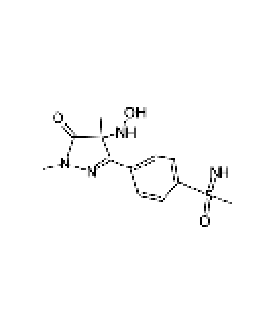 CN1N=C(c2ccc(S(C)(=N)=O)cc2)C(C)(NO)C1=O